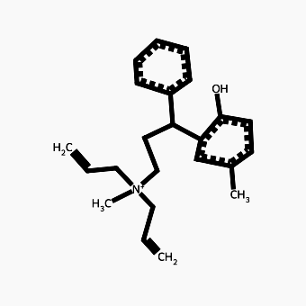 C=CC[N+](C)(CC=C)CCC(c1ccccc1)c1cc(C)ccc1O